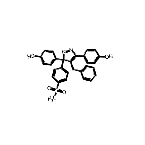 CS(=O)(=O)c1ccc(C2(c3ccc(O)cc3)N=NC(c3ccc(O)cc3)=C2Cc2ccccc2)cc1